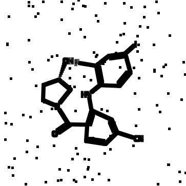 N#Cc1ccc(C(=O)N2CC[C@H](O)C2)c(Nc2ccc(I)cc2F)c1